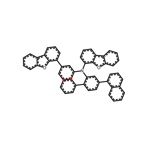 c1ccc(-c2ccc(-c3cccc4ccccc34)cc2N(c2cccc(-c3cccc4c3oc3ccccc34)c2)c2cccc3c2oc2ccccc23)cc1